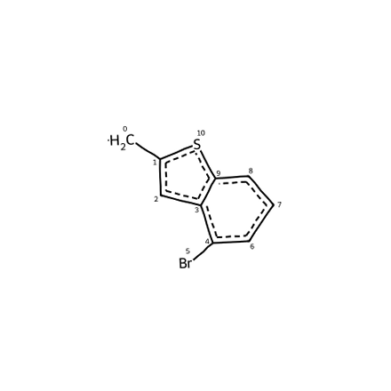 [CH2]c1cc2c(Br)cccc2s1